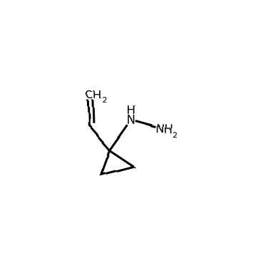 C=CC1(NN)CC1